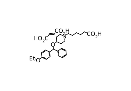 CCOc1ccc(C(OC2CCN(CCCCCC(=O)O)CC2)c2ccccc2)cc1.O=C(O)C=CC(=O)O